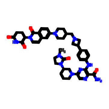 CN1CCN([C@@H]2CCCN(c3cnc(C(N)=O)c(Nc4ccc(C5CN(CC6CCN(c7ccc8c(=O)n(C9CCC(=O)NC9=O)ccc8c7)CC6)C5)cc4)n3)C2)C1=O